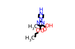 CCCCOC(=O)c1c(C)nc(N2CCNCC2)nc1C(=O)O